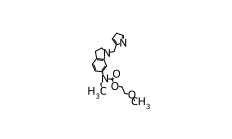 CCN(C(=O)OCCOC)c1ccc2c(c1)N(CC1=CCC=N1)CC2